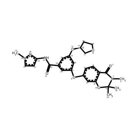 CN1C(=O)c2ccc(Oc3cc(O[C@H]4CCOC4)cc(C(=O)Nc4ccn(C)n4)c3)cc2OC1(C)C